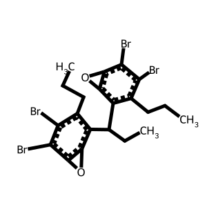 CCCc1c(Br)c(Br)c2c(c1C(CC)c1c(CCC)c(Br)c(Br)c3c1O3)O2